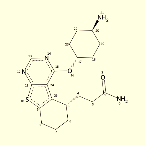 NC(=O)CC[C@@H]1CCCc2sc3ncnc(O[C@H]4CC[C@H](N)CC4)c3c21